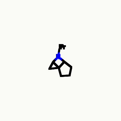 CC(C)N1C2CCCC23CC13